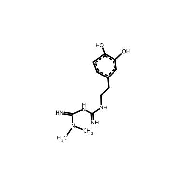 CN(C)C(=N)NC(=N)NCCc1ccc(O)c(O)c1